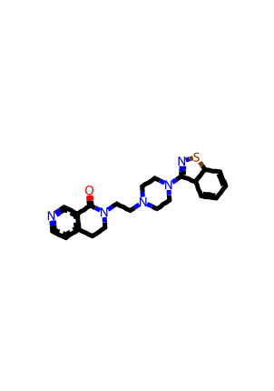 O=C1c2cnccc2CCN1CCN1CCN(C2=NSC3C=CC=CC23)CC1